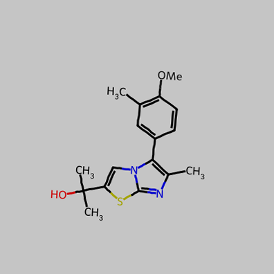 COc1ccc(-c2c(C)nc3sc(C(C)(C)O)cn23)cc1C